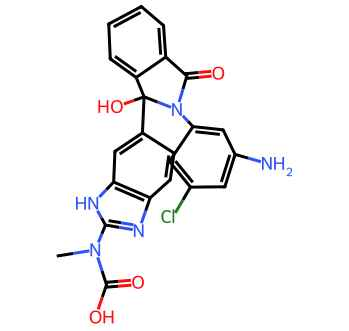 CN(C(=O)O)c1nc2ccc(C3(O)c4ccccc4C(=O)N3c3cc(N)cc(Cl)c3)cc2[nH]1